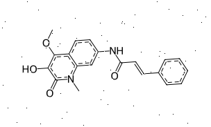 COc1c(O)c(=O)n(C)c2cc(NC(=O)C=Cc3ccccc3)ccc12